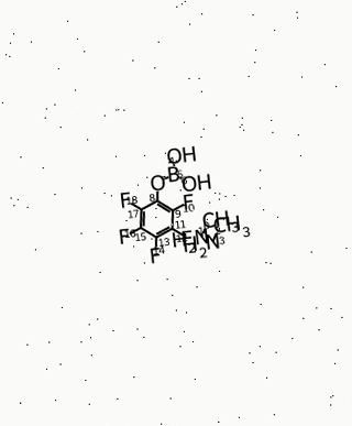 CN.CN.OB(O)Oc1c(F)c(F)c(F)c(F)c1F